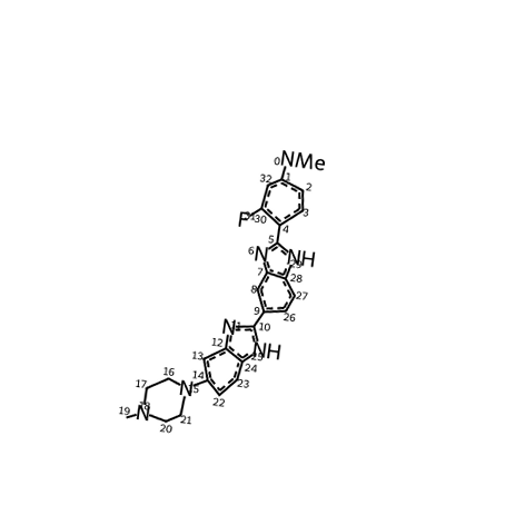 CNc1ccc(-c2nc3cc(-c4nc5cc(N6CCN(C)CC6)ccc5[nH]4)ccc3[nH]2)c(F)c1